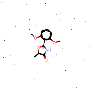 COc1cccc(OC)c1[C@H]1NC(=O)C(C)O1